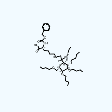 CCCCOC[C@H]1O[C@@](OCCCC)(C(F)(F)CNCCCC[C@H](NC(=O)OCc2ccccc2)C(=O)O)[C@H](OCCCC)[C@@H](OCCCC)[C@H]1OCCCC